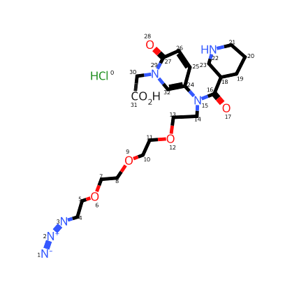 Cl.[N-]=[N+]=NCCOCCOCCOCCN(C(=O)C1CCCNC1)c1ccc(=O)n(CC(=O)O)c1